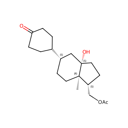 CC(=O)OC[C@H]1CC[C@]2(O)C[C@@H](C3CCC(=O)CC3)CC[C@]12C